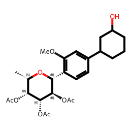 COc1cc(C2CCCC(O)C2)ccc1[C@H]1O[C@@H](C)[C@@H](OC(C)=O)[C@@H](OC(C)=O)[C@@H]1OC(C)=O